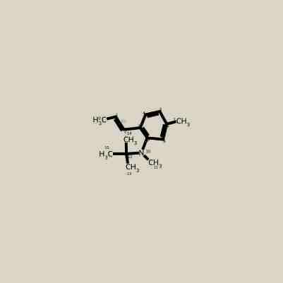 C/C=C/c1ccc(C)cc1N(C)C(C)(C)C